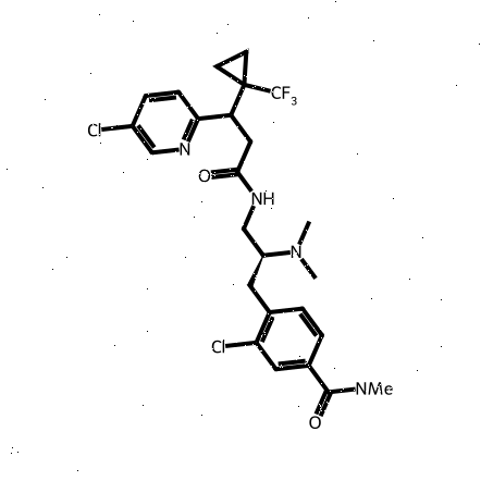 CNC(=O)c1ccc(C[C@@H](CNC(=O)CC(c2ccc(Cl)cn2)C2(C(F)(F)F)CC2)N(C)C)c(Cl)c1